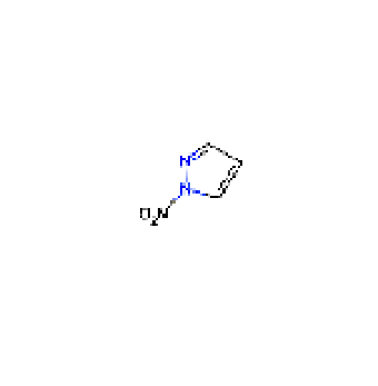 O=[N+]([O-])n1cc[c]n1